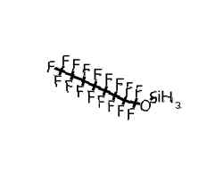 FC(F)(F)C(F)(F)C(F)(F)C(F)(F)C(F)(F)C(F)(F)C(F)(F)C(F)(F)O[SiH3]